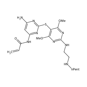 C=CC(=O)Nc1cc(N)nc(Sc2c(OC)nc(NCCNCCCCC)nc2OC)n1